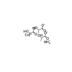 CC(O)C(=O)[O-].CC(O)C(=O)[O-].CC(O)C(=O)[O-].[Co+2].[NH4+]